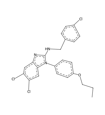 CCCOc1ccc(-n2c(NCc3ccc(Cl)cc3)nc3cc(Cl)c(Cl)cc32)cc1